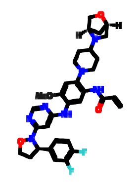 C=CC(=O)Nc1cc(Nc2cc(N3OCC[C@@H]3c3ccc(F)c(F)c3)ncn2)c(OC)cc1N1CCC(N2C[C@H]3C[C@@H]2CO3)CC1